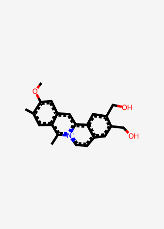 COc1cc2cc3c4cc(CO)c(CO)cc4cc[n+]3c(C)c2cc1C